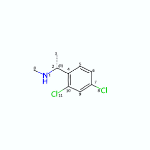 CN[C@H](C)c1ccc(Cl)cc1Cl